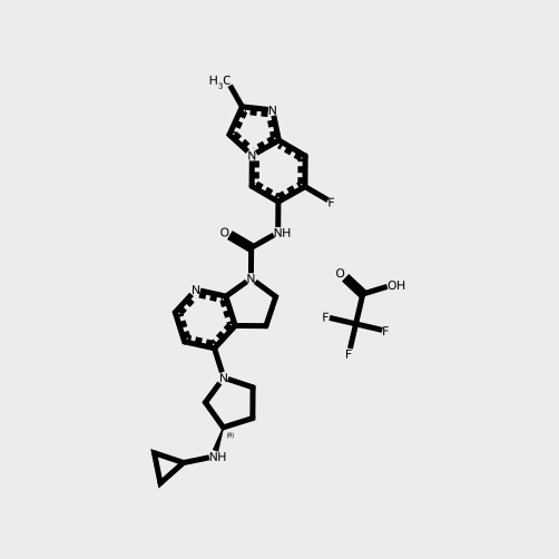 Cc1cn2cc(NC(=O)N3CCc4c(N5CC[C@@H](NC6CC6)C5)ccnc43)c(F)cc2n1.O=C(O)C(F)(F)F